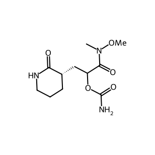 CON(C)C(=O)C(C[C@@H]1CCCNC1=O)OC(N)=O